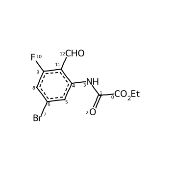 CCOC(=O)C(=O)Nc1cc(Br)cc(F)c1C=O